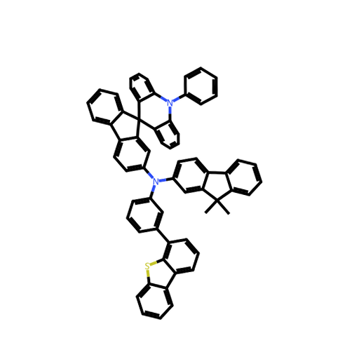 CC1(C)c2ccccc2-c2ccc(N(c3cccc(-c4cccc5c4sc4ccccc45)c3)c3ccc4c(c3)C3(c5ccccc5-4)c4ccccc4N(c4ccccc4)c4ccccc43)cc21